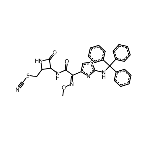 CON=C(C(=O)NC1C(=O)NC1CSC#N)c1csc(NC(c2ccccc2)(c2ccccc2)c2ccccc2)n1